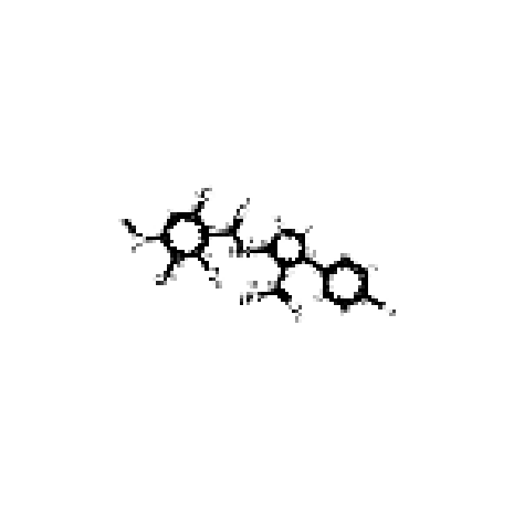 COc1cc(Cl)c(C(=O)Nc2scc(-c3ccc(I)cc3)c2C(=O)O)c(Cl)c1Cl